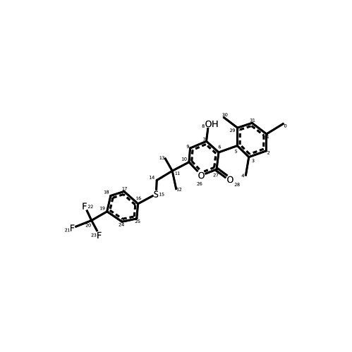 Cc1cc(C)c(-c2c(O)cc(C(C)(C)CSc3ccc(C(F)(F)F)cc3)oc2=O)c(C)c1